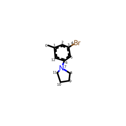 Cc1cc(Br)cc(N2CCCC2)c1